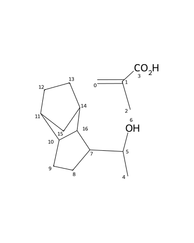 C=C(C)C(=O)O.CC(O)C1CCC2C3CCC(C3)C12